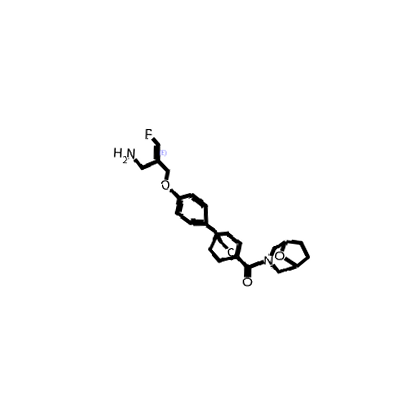 NC/C(=C\F)COc1ccc(C23CCC(C(=O)N4CC5CCC(C4)O5)(CC2)CC3)cc1